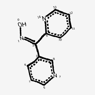 ON=C(c1cccnc1)c1ccccn1